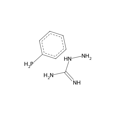 N=C(N)NN.Pc1ccccc1